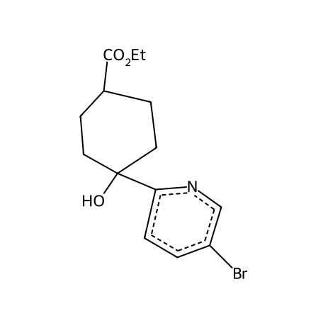 CCOC(=O)C1CCC(O)(c2ccc(Br)cn2)CC1